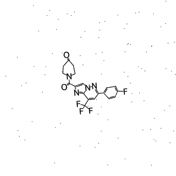 O=C1CCN(C(=O)c2cn3nc(-c4ccc(F)cc4)cc(C(F)(F)F)c3n2)CC1